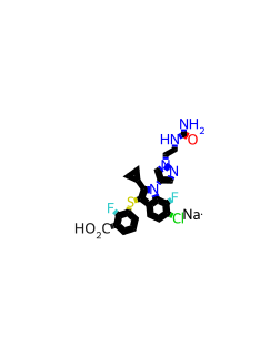 NC(=O)NCCn1cc(-n2c(C3CC3)c(Sc3cccc(C(=O)O)c3F)c3ccc(Cl)c(F)c32)cn1.[Na]